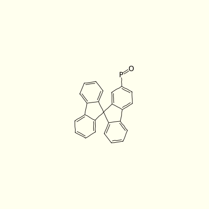 O=Pc1ccc2c(c1)C1(c3ccccc3-c3ccccc31)c1ccccc1-2